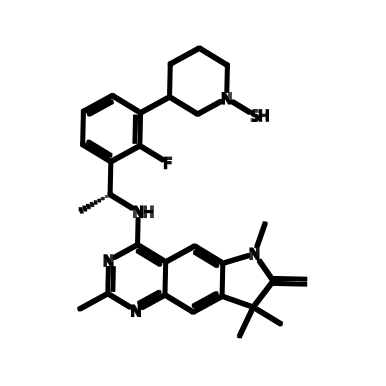 C=C1N(C)c2cc3c(N[C@H](C)c4cccc(C5CCCN(S)C5)c4F)nc(C)nc3cc2C1(C)C